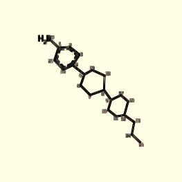 Bc1ccc(C2CCC(C3CCC(CCC)CC3)CC2)cc1